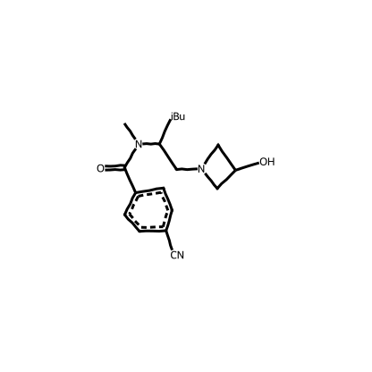 CCC(C)C(CN1CC(O)C1)N(C)C(=O)c1ccc(C#N)cc1